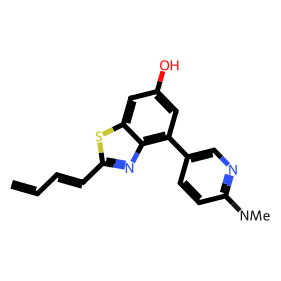 C=CC=Cc1nc2c(-c3ccc(NC)nc3)cc(O)cc2s1